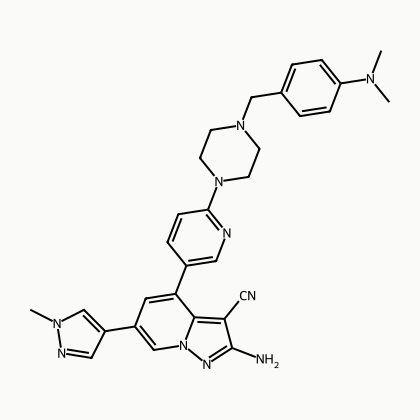 CN(C)c1ccc(CN2CCN(c3ccc(-c4cc(-c5cnn(C)c5)cn5nc(N)c(C#N)c45)cn3)CC2)cc1